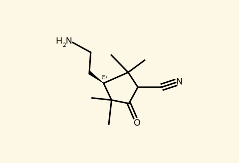 CC1(C)C(=O)C(C#N)C(C)(C)[C@@H]1CCN